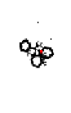 FC1(F)CCCC(F)(P(=[Se])(c2ccccc2)c2ccccc2)C1(F)F